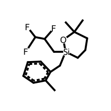 Cc1ccccc1C[Si]1(CC(F)C(F)F)CCCC(C)(C)O1